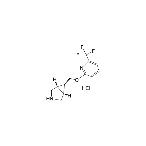 Cl.FC(F)(F)c1cccc(OC[C@H]2[C@@H]3CNC[C@@H]32)n1